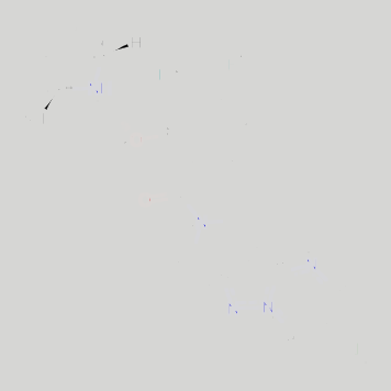 O=C(c1ccc(F)cc1O[C@@H]1C[C@@H]2CC[C@@H](N2)C1F)N1Cc2nn3cc(Cl)cnc3c2C1